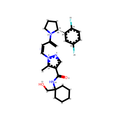 C=C(/C=C\n1ncc(C(=O)NC2(CO)CCCCC2)c1C)N1CCC[C@@H]1c1cc(F)ccc1F